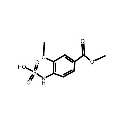 COC(=O)c1ccc(NS(=O)(=O)O)c(OC)c1